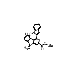 Cn1c(-c2nc(C(=O)OC(C)(C)C)cc3c2c2ccccc2n3C)cc2ccccc21